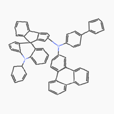 C1=CCC(N2c3ccccc3C3(c4ccccc4-c4ccc(N(c5ccc(-c6ccccc6)cc5)c5ccc6c7ccccc7c7ccccc7c6c5)cc43)c3ccccc32)C=C1